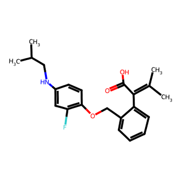 CC(C)=C(C(=O)O)c1ccccc1COc1ccc(NCC(C)C)cc1F